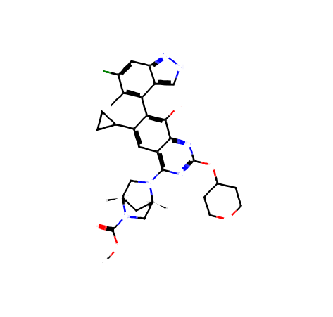 Cc1c(F)cc2n[nH]cc2c1-c1c(C2CC2)cc2c(N3C[C@@H]4C[C@H]3CN4C(=O)OC(C)(C)C)nc(OC3CCOCC3)nc2c1O